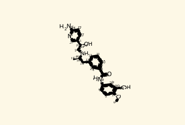 COc1ccc(NC(=O)c2cccc(C[C@@H](C)NC[C@@H](O)c3ccc(N)nc3)c2)cc1O